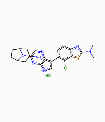 CN(C)c1nc2ccc(-c3c[nH]c4nc(N5C6CCC5CC(N)C6)cnc34)c(Cl)c2s1.Cl